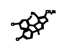 CCOC(=O)C1=C(C(C)C)N2C(=NC(C)(c3ccc(Cl)cc3)C2c2ccc(Cl)cc2F)S1